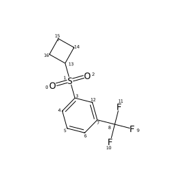 O=S(=O)(c1cccc(C(F)(F)F)c1)C1C[CH]C1